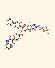 Cc1cc(CC(OC(=O)N2CCC(c3cc4ccccc4[nH]c3=O)CC2)C(=O)N2CCC(N3CCCCC3)CC2)cc2cn(COCC[Si](C)(C)C)nc12